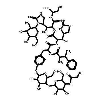 CCC(C)CC(=O)OC1C(CO)OC(OC2C(CO)OC(Oc3ccc(CC(NC(=O)C(N)C(C)c4ccccc4)C(=O)NC(C(=O)NC(C(=O)NC([C]=O)CO)C(O)C4CNC(=N)N4C4OC(CO)C(O)C(O)C4O)C(O)C4CNC(=N)N4)cc3)C(O)C2O)C(O)C1O